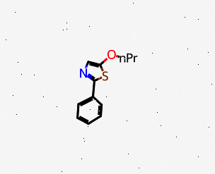 CCCOc1cnc(-c2ccccc2)s1